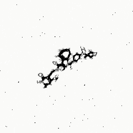 CSc1cc(C)[nH]c(=O)c1CNC(=O)c1c(C)n([C@H](C)C2CCC(NC3(C)COC3)CC2)c2ccccc12